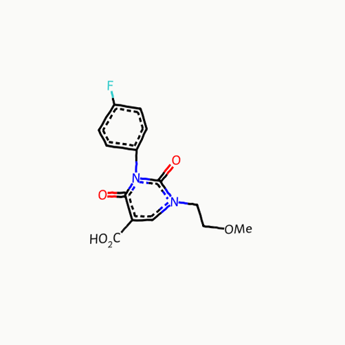 COCCn1cc(C(=O)O)c(=O)n(-c2ccc(F)cc2)c1=O